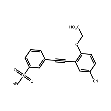 CCCS(=O)(=O)c1cccc(C#Cc2cc(C#N)ccc2OCC(=O)O)c1